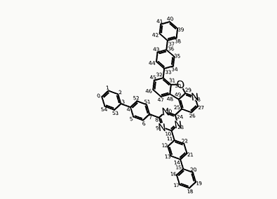 c1ccc(-c2ccc(-c3nc(-c4ccc(-c5ccccc5)cc4)nc(-c4ccnc5oc6c(-c7ccc(-c8ccccc8)cc7)cccc6c45)n3)cc2)cc1